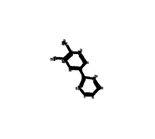 CC(C)c1ncc(-c2ncccn2)cc1F